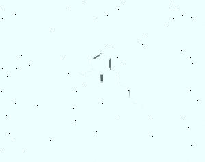 O=C(O)[CH]n1cccc(CCCCO)c1=O